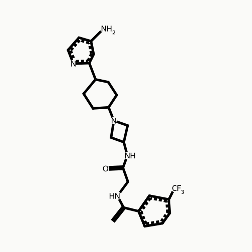 C=C(NCC(=O)NC1CN(C2CCC(c3cc(N)ccn3)CC2)C1)c1cccc(C(F)(F)F)c1